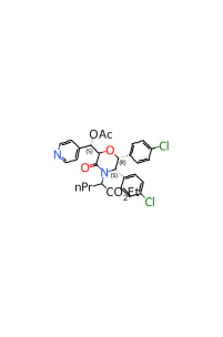 CCCC(C(=O)OCC)N1C(=O)C([C@@H](OC(C)=O)c2ccncc2)O[C@H](c2ccc(Cl)cc2)[C@@H]1c1ccc(Cl)cc1